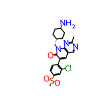 Cc1ncc2cc(-c3ccc(S(C)(=O)=O)cc3Cl)c(=O)n(C[C@H]3CC[C@H](N)CC3)c2n1